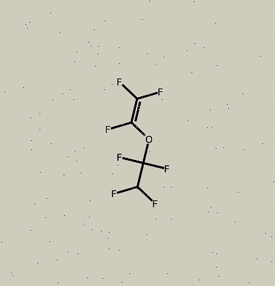 F[C](F)C(F)(F)OC(F)=C(F)F